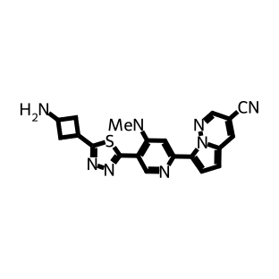 CNc1cc(-c2ccc3cc(C#N)cnn23)ncc1-c1nnc(C2CC(N)C2)s1